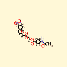 CC(=O)Nc1ccc(C(=O)OCCOC(=O)CC(=O)/C=C\c2cccc([N+](=O)[O-])c2)cc1